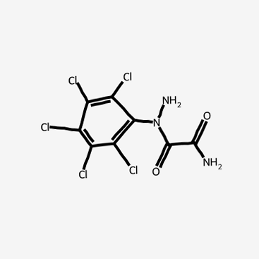 NC(=O)C(=O)N(N)c1c(Cl)c(Cl)c(Cl)c(Cl)c1Cl